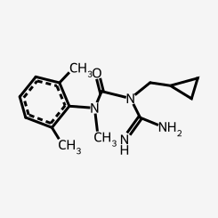 Cc1cccc(C)c1N(C)C(=O)N(CC1CC1)C(=N)N